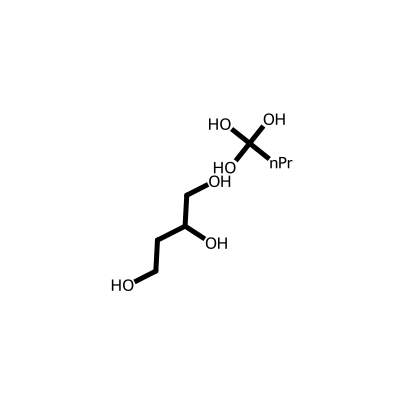 CCCC(O)(O)O.OCCC(O)CO